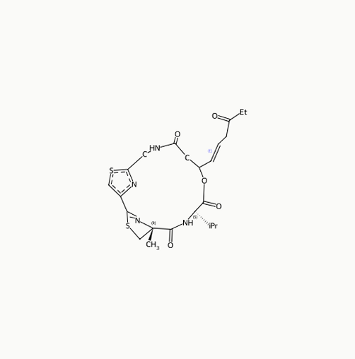 CCC(=O)C/C=C/C1CC(=O)NCc2nc(cs2)C2=N[C@@](C)(CS2)C(=O)N[C@@H](C(C)C)C(=O)O1